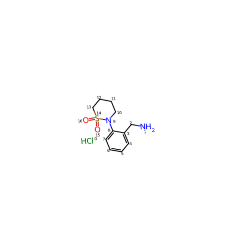 Cl.NCc1ccccc1N1CCCCS1(=O)=O